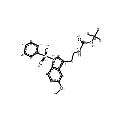 COc1ccc2c(c1)c(CCNC(=O)OC(C)(C)C)cn2S(=O)(=O)c1ccccc1